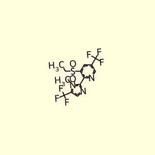 CCS(=O)(=O)c1cc(C(F)(F)F)cnc1-c1ncc(C(F)(F)F)n1C